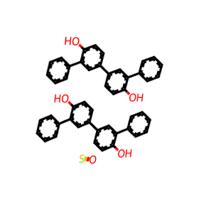 O=S.Oc1ccc(-c2ccc(O)c(-c3ccccc3)c2)cc1-c1ccccc1.Oc1ccc(-c2ccc(O)c(-c3ccccc3)c2)cc1-c1ccccc1